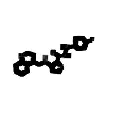 O=C(NNc1ccc(F)cc1)c1sccc1NCc1ccnc2ccccc12